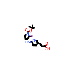 CC(C)(C)OC(=O)N1CC[C@@H](Nc2ccc(C=CC(=O)O)cn2)C1I